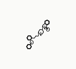 O=C1c2ccccc2CN1C1CCN(CCCc2ccccc2Oc2ccccc2)CC1